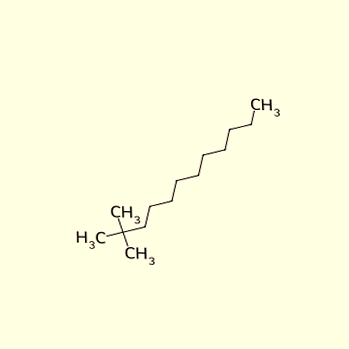 CCCCCCCCCCC(C)(C)C